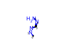 C/N=N\C=N/N